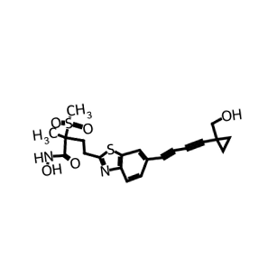 CC(CCc1nc2ccc(C#CC#CC3(CO)CC3)cc2s1)(C(=O)NO)S(C)(=O)=O